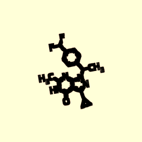 Cc1nc2c(c(C3CC3)nn2C(C)c2ccc(C(F)F)cc2)c(=O)[nH]1